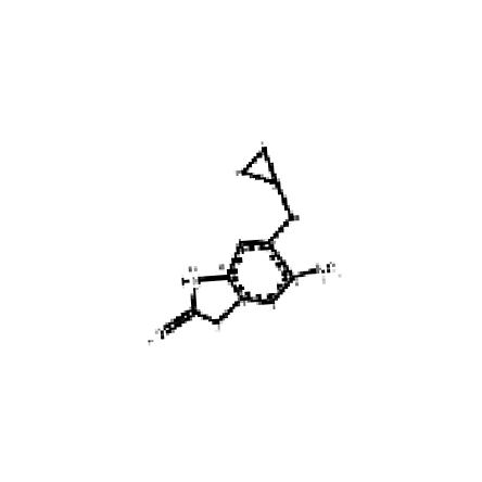 O=C1Cc2cc([N+](=O)[O-])c(CC3CC3)cc2N1